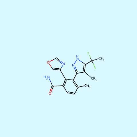 Cc1ccc(C(N)=O)c(-c2cocn2)c1-c1n[nH]c(C(F)(F)C(F)(F)F)c1C(F)(F)F